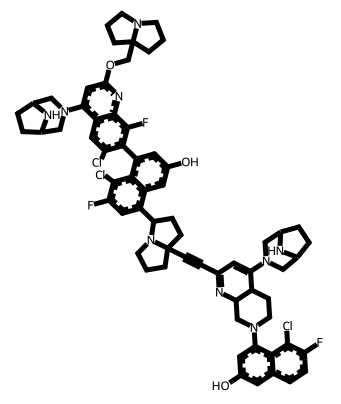 Oc1cc(N2CCC3C(N4CC5CCC(C4)N5)=CC(C#CC45CCCN4C(c4cc(F)c(Cl)c6c(-c7c(Cl)cc8c(N9CC%10CCC(C9)N%10)cc(OCC9%10CCCN9CCC%10)nc8c7F)cc(O)cc46)CC5)=NC3C2)c2c(Cl)c(F)ccc2c1